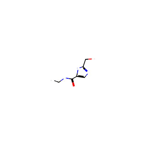 CC(C)CNC(=O)c1cnc(CO)[nH]1